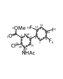 COC(=O)c1nc(-c2cc(F)c(I)cc2F)cc(NC(C)=O)c1Cl